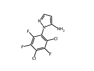 Nc1ccnn1-c1c(F)c(F)c(Cl)c(F)c1Cl